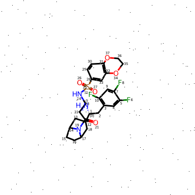 N[C@H](Cc1cc(F)c(F)cc1F)C1CC2CCC(C1)N2C(=O)CCNS(=O)(=O)c1ccc2c(c1)OCCO2